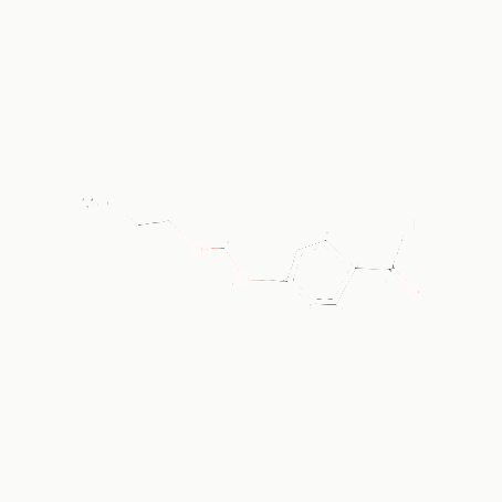 COCCOCOc1ccc(C(=O)Cl)cc1